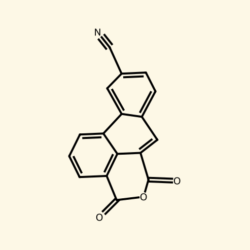 N#Cc1ccc2cc3c4c(cccc4c2c1)C(=O)OC3=O